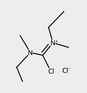 CCN(C)C(Cl)=[N+](C)CC.[Cl-]